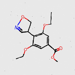 CCOc1cc(C(=O)OC)cc(OCC)c1C1C=NOC1